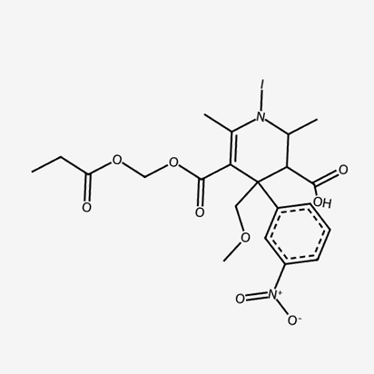 CCC(=O)OCOC(=O)C1=C(C)N(I)C(C)C(C(=O)O)C1(COC)c1cccc([N+](=O)[O-])c1